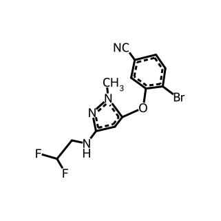 Cn1nc(NCC(F)F)cc1Oc1cc(C#N)ccc1Br